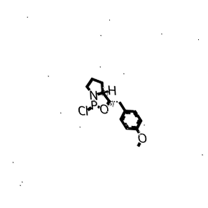 COc1ccc(C[C@@H]2OP(Cl)N3CCC[C@H]23)cc1